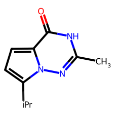 Cc1nn2c(C(C)C)ccc2c(=O)[nH]1